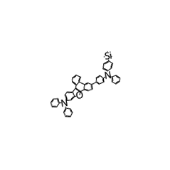 C[Si](C)(C)c1ccc(N(c2ccccc2)c2ccc(-c3ccc4c(c3)c3ccccc3c3c5ccc(N(c6ccccc6)c6ccccc6)cc5oc43)cc2)cc1